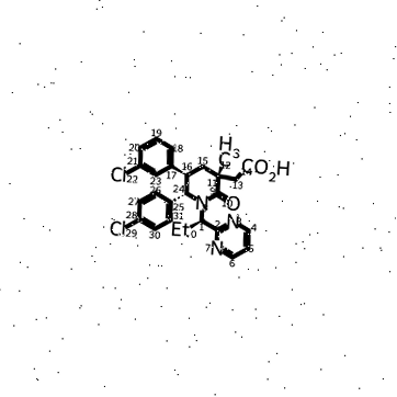 CC[C@H](c1ncccn1)N1C(=O)[C@@](C)(CC(=O)O)C[C@H](c2cccc(Cl)c2)[C@H]1c1ccc(Cl)cc1